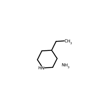 CCC1CCNCC1.N